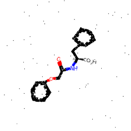 O=C(COc1ccccc1)N[C@@H](Cc1ccccc1)C(=O)O